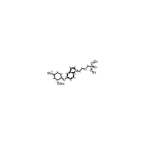 CCOP(=O)(COCCn1ccc2cc(O[C@@H]3CCC(C(C)(C)C)C[C@H]3OC)ccc21)OCC